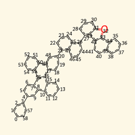 c1ccc(-c2ccc3c(c2)c2ccccc2c2c4ccc(-c5cccc6c(-c7cccc8oc9c%10ccccc%10ccc9c78)cccc56)cc4c4ccccc4c32)cc1